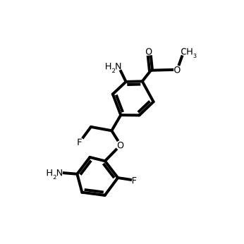 COC(=O)c1ccc(C(CF)Oc2cc(N)ccc2F)cc1N